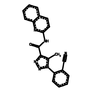 Cc1c(C(=O)Nc2ccc3ccccc3n2)nnn1-c1ccccc1C#N